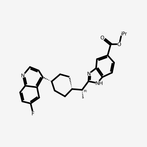 CC(C)OC(=O)c1ccc2[nH]c([C@H](C)[C@H]3CC[C@@H](c4ccnc5ccc(F)cc54)CC3)nc2c1